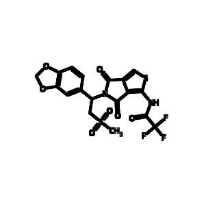 CS(=O)(=O)CC(c1ccc2c(c1)OCO2)N1C(=O)c2csc(NC(=O)C(F)(F)F)c2C1=O